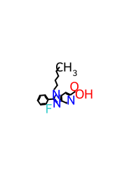 CCCCCCn1c(-c2ccccc2F)nc2cnc(C(=O)O)cc21